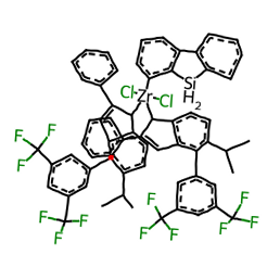 CC(C)c1ccc2c(c1-c1cc(C(F)(F)F)cc(C(F)(F)F)c1)C=C(c1ccccc1)[CH]2[Zr]([Cl])([Cl])([c]1cccc2c1[SiH2]c1ccccc1-2)[CH]1C(c2ccccc2)=Cc2c1ccc(C(C)C)c2-c1cc(C(F)(F)F)cc(C(F)(F)F)c1